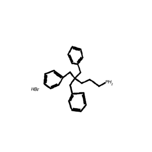 Br.PCCCC(Cc1ccccc1)(Cc1ccccc1)Cc1ccccc1